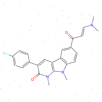 CN(C)/C=C/C(=O)c1ccc2c(c1)c1cc(-c3ccc(F)cc3)c(=O)n(C)c1n2C